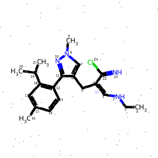 CCN/C=C(/Cc1cn(C)nc1-c1ccc(C)cc1C(C)C)C(=N)Cl